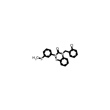 CSc1cccc(N2Sc3ccccc3N(Cc3ccccc3Cl)C2=O)c1